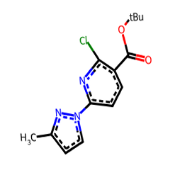 Cc1ccn(-c2ccc(C(=O)OC(C)(C)C)c(Cl)n2)n1